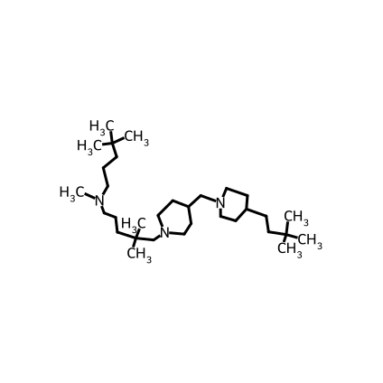 CN(CCCC(C)(C)C)CCCC(C)(C)CN1CCC(CN2CCC(CCC(C)(C)C)CC2)CC1